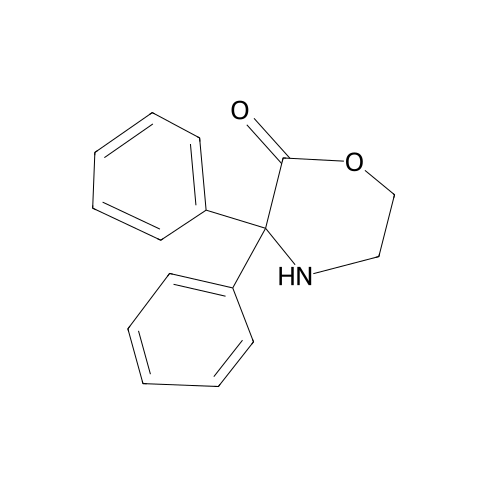 O=C1OCCNC1(c1ccccc1)c1ccccc1